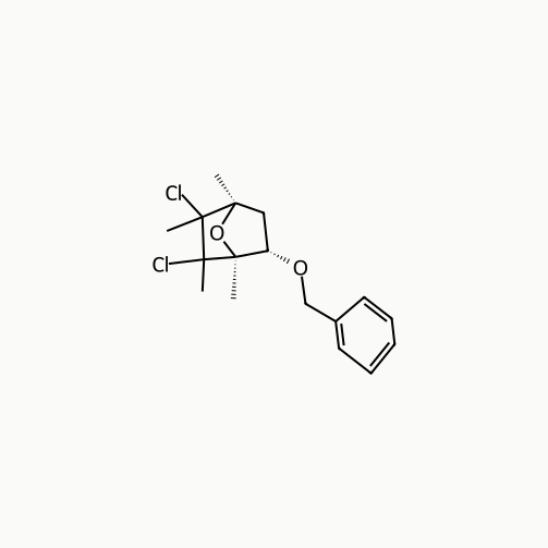 CC1(Cl)C(C)(Cl)[C@@]2(C)O[C@]1(C)C[C@@H]2OCc1ccccc1